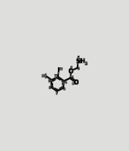 O=C(OC[SiH3])c1cccc(I)c1I